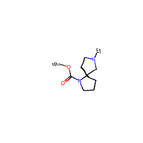 CCN1CCC2(CCCN2C(=O)OC(C)(C)C)C1